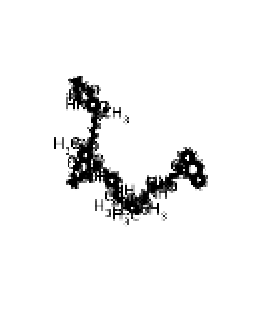 COc1cc2c(cc1OCCCCCOc1cc3c(cc1OC)C(=O)N1CC4(CC4)C[C@H]1C(O)N3C(=O)OCc1ccc(NC(=O)[C@H](C)NC(=O)[C@@H](NC(=O)CNC(=O)CNC(=O)CCC(=O)N3Cc4ccccc4C#Cc4ccccc43)C(C)C)cc1)NC[C@@H]1CC3(CC3)CN1C2=O